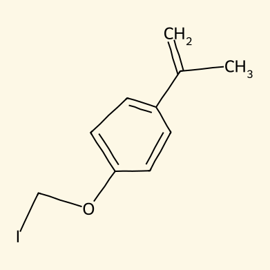 C=C(C)c1ccc(OCI)cc1